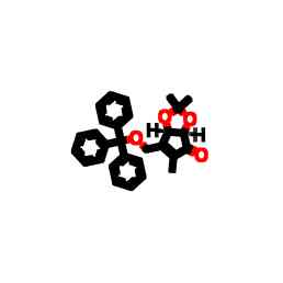 CC1=C(COC(c2ccccc2)(c2ccccc2)c2ccccc2)[C@H]2OC(C)(C)O[C@H]2C1=O